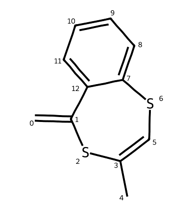 C=C1SC(C)=CSc2ccccc21